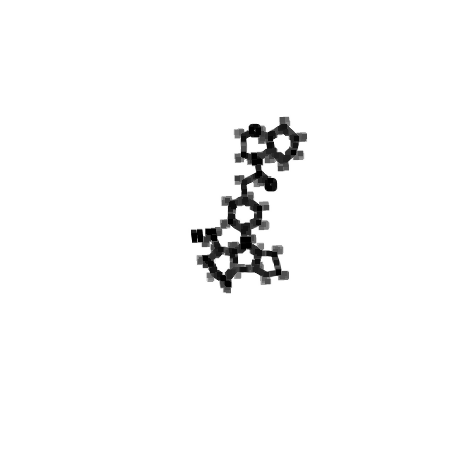 Nc1ncnc2c3c(n(-c4ccc(CC(=O)N5CCOc6ccccc65)cc4)c12)CCC3